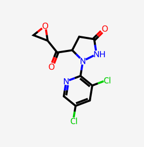 O=C1CC(C(=O)C2CO2)N(c2ncc(Cl)cc2Cl)N1